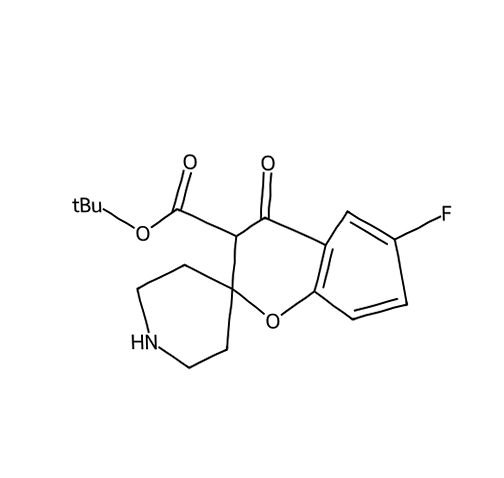 CC(C)(C)OC(=O)C1C(=O)c2cc(F)ccc2OC12CCNCC2